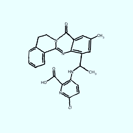 Cc1cc(C(C)Nc2ccc(Cl)nc2C(=O)O)c2nc3n(c(=O)c2c1)CCc1ccccc1-3